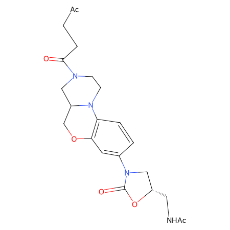 CC(=O)CCC(=O)N1CCN2c3ccc(N4C[C@H](CNC(C)=O)OC4=O)cc3OCC2C1